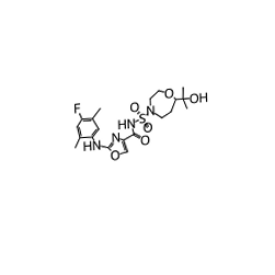 Cc1cc(Nc2nc(C(=O)NS(=O)(=O)N3CCOC(C(C)(C)O)CC3)co2)c(C)cc1F